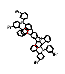 CC(C)c1cccc(N(c2ccc(C(C)C)cc2-c2ccccc2)c2ccc3c4cc5c(cc4n4c6ccccc6c2c34)c2ccc(N(c3cccc(C(C)C)c3)c3ccc(C(C)C)cc3-c3ccccc3)c3c4ccccc4n5c23)c1